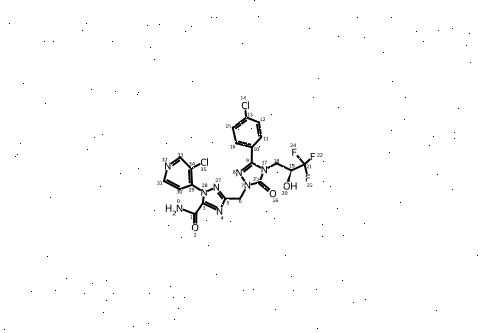 NC(=O)c1nc(Cn2nc(-c3ccc(Cl)cc3)n(C[C@H](O)C(F)(F)F)c2=O)nn1-c1ccncc1Cl